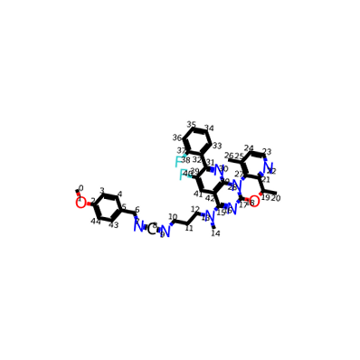 COc1ccc(CN=C=NCCCN(C)C2=NC3OC(C)c4nccc(C)c4N3c3nc(-c4ccccc4F)c(F)cc32)cc1